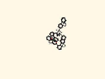 c1ccc(-c2nc(-c3ccc4c(c3)oc3ccccc34)nc(-c3cccc4oc5ccc(-c6cccc7oc8cccc(-c9ccc%10c(c9)sc9ccccc9%10)c8c67)cc5c34)n2)cc1